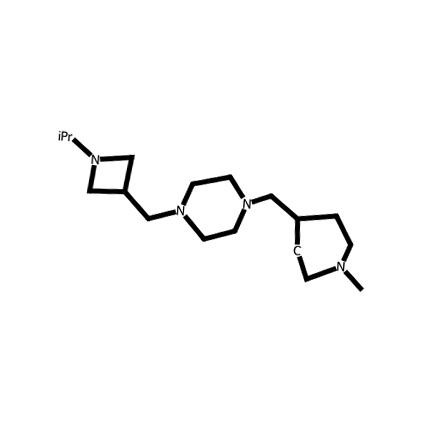 CC(C)N1CC(CN2CCN(CC3CCN(C)CC3)CC2)C1